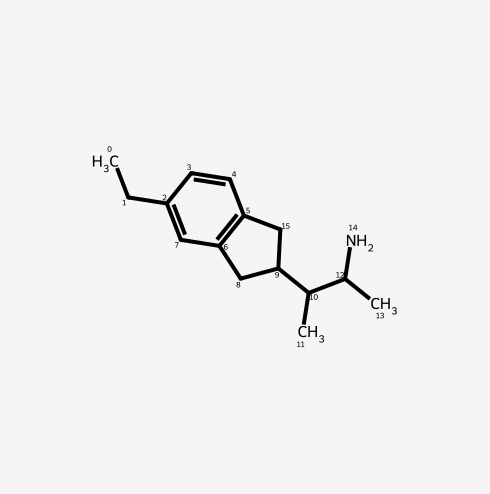 CCc1ccc2c(c1)CC(C(C)C(C)N)C2